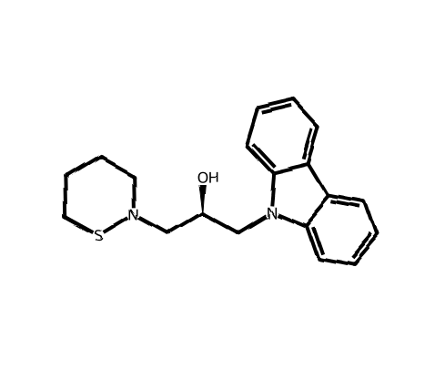 O[C@H](CN1CCCCS1)Cn1c2ccccc2c2ccccc21